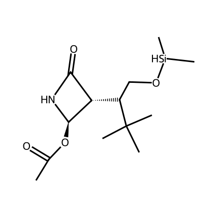 CC(=O)O[C@H]1NC(=O)[C@@H]1C(CO[SiH](C)C)C(C)(C)C